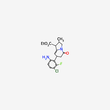 CCOC(=O)C1C2=CC(c3c(N)ccc(Cl)c3F)CC(=O)N2CC1C